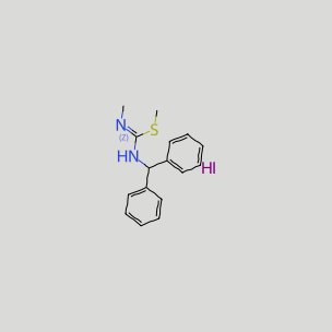 C/N=C(/NC(c1ccccc1)c1ccccc1)SC.I